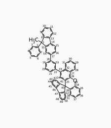 CC1(c2ccccc2)c2ccccc2-c2ccc(-c3cccc(-c4cc5c(c6ccccc46)Oc4ccccc4C54c5ccccc5-c5ccccc54)c3)cc21